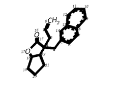 C=CCC1(Cc2ccc3ccccc3c2)C(=O)OC2CCCC21